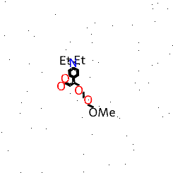 CCN(CC)c1ccc2c(COCCOCCOC)cc(=O)oc2c1